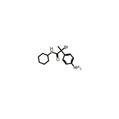 CC(Br)(C(=O)NC1CCCCC1)c1ccc(N)cc1